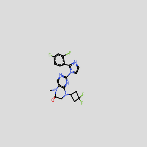 CN1C(=O)CN(C2CC(F)(F)C2)c2nc(-n3ccnc3-c3ccc(F)cc3F)ncc21